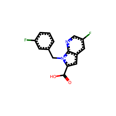 O=C(O)c1cc2cc(F)cnc2n1Cc1cccc(F)c1